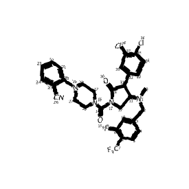 CN(Cc1ccc(C(F)(F)F)c(F)c1)C1CN(C(=O)N2CCN(c3ccccc3C#N)CC2)C(=O)C1c1ccc(Cl)c(Cl)c1